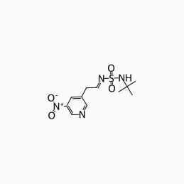 CC(C)(C)NS(=O)(=O)/N=C/Cc1cncc([N+](=O)[O-])c1